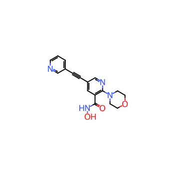 O=C(NO)c1cc(C#Cc2cccnc2)cnc1N1CCOCC1